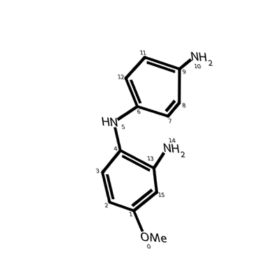 COc1ccc(Nc2ccc(N)cc2)c(N)c1